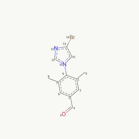 Cc1cc(C=O)cc(C)c1-n1cnc(Br)c1